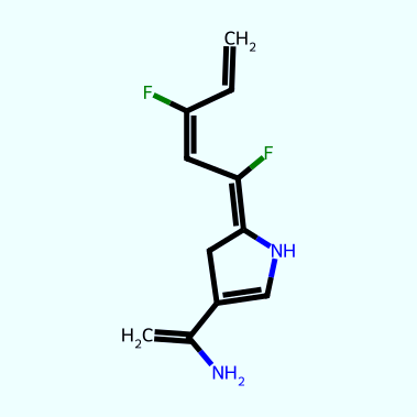 C=C/C(F)=C\C(F)=C1/CC(C(=C)N)=CN1